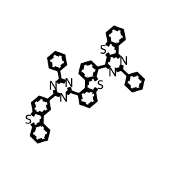 c1ccc(-c2nc(-c3ccc4sc5ccccc5c4c3)nc(-c3cccc4sc5c(-c6nc(-c7ccccc7)nc7c6sc6ccccc67)cccc5c34)n2)cc1